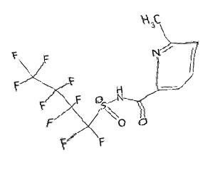 Cc1cccc(C(=O)NS(=O)(=O)C(F)(F)C(F)(F)C(F)(F)C(F)(F)F)n1